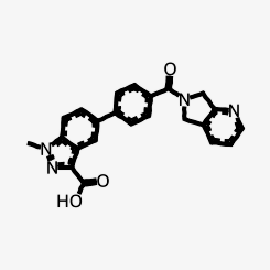 Cn1nc(C(=O)O)c2cc(-c3ccc(C(=O)N4Cc5cccnc5C4)cc3)ccc21